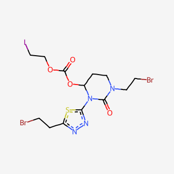 O=C(OCCI)OC1CCN(CCBr)C(=O)N1c1nnc(CCBr)s1